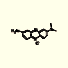 CN(C)c1ccc2nc3ccc([AsH2])cc3[s+]c2c1.[Cl-]